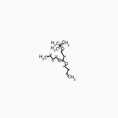 CCCCOC(CCOC(C)(C)C)OCCCC